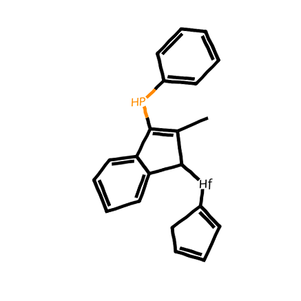 CC1=C(Pc2ccccc2)c2ccccc2[CH]1[Hf][C]1=CC=CC1